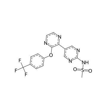 CS(=O)(=O)Nc1ncc(-c2nccnc2Oc2ccc(C(F)(F)F)cc2)cn1